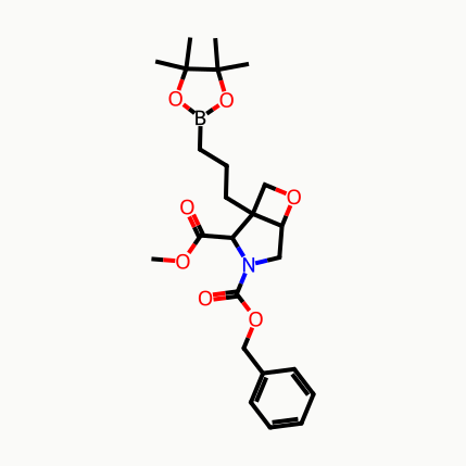 COC(=O)C1N(C(=O)OCc2ccccc2)CC2OCC21CCCB1OC(C)(C)C(C)(C)O1